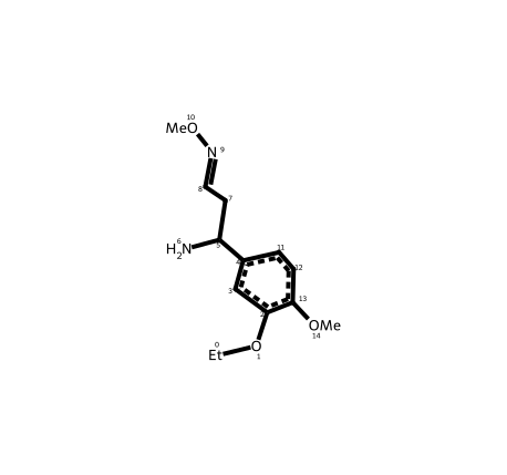 CCOc1cc(C(N)CC=NOC)ccc1OC